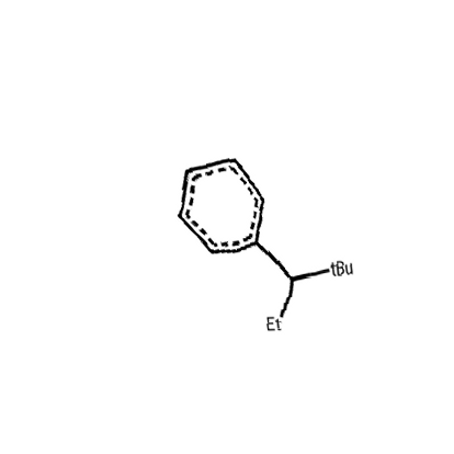 CCC(c1ccccc1)C(C)(C)C